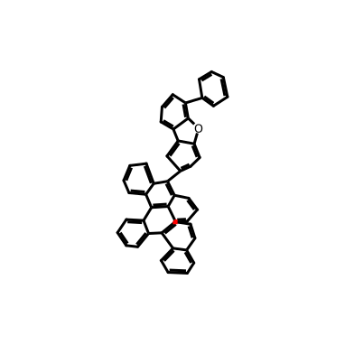 c1ccc(-c2cccc3c2oc2ccc(-c4c5ccccc5c(-c5ccccc5-c5cccc6ccccc56)c5ccccc45)cc23)cc1